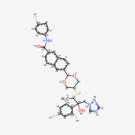 CC(SC1COC(c2ccc3cc(C(=O)Nc4ccc(F)cc4)ccc3c2)OC1)C(O)(Cn1cncn1)c1ccc(F)cc1F